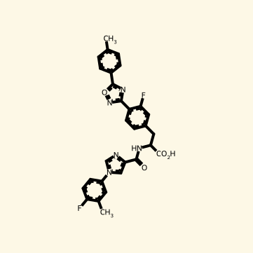 Cc1ccc(-c2nc(-c3ccc(CC(NC(=O)c4cn(-c5ccc(F)c(C)c5)cn4)C(=O)O)cc3F)no2)cc1